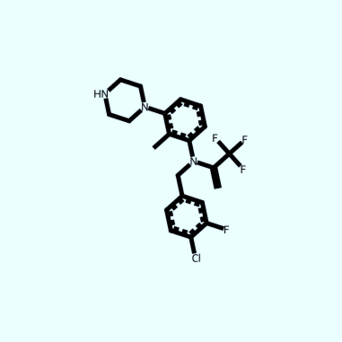 C=C(N(Cc1ccc(Cl)c(F)c1)c1cccc(N2CCNCC2)c1C)C(F)(F)F